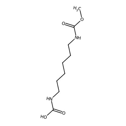 COC(=O)NCCCCCCNC(=O)O